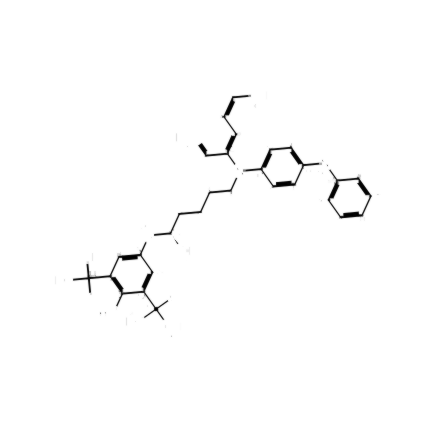 C=C/C(=C\C=C/C)N(CCCC[C@@H](O)Sc1cc(C(C)(C)C)c(O)c(C(C)(C)C)c1)c1ccc(Nc2ccccc2)cc1